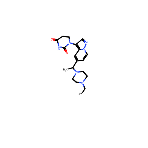 CC(C)CN1CCN(C(C)c2ccn3ncc(N4CCC(=O)NC4=O)c3c2)CC1